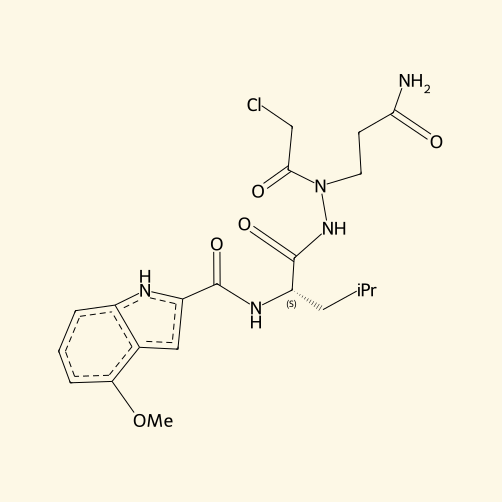 COc1cccc2[nH]c(C(=O)N[C@@H](CC(C)C)C(=O)NN(CCC(N)=O)C(=O)CCl)cc12